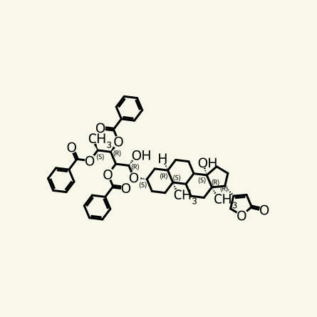 C[C@H](OC(=O)c1ccccc1)[C@@H](OC(=O)c1ccccc1)C(OC(=O)c1ccccc1)[C@H](O)O[C@H]1CC[C@]2(C)C3CC[C@]4(C)[C@@H](C5=CC(=O)OC5)CC[C@]4(O)C3CC[C@@H]2C1